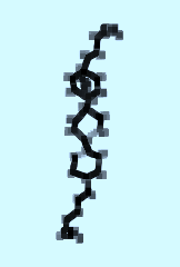 CCCCC[C@H]1CC[C@H]([C@H]2CC[C@H](C34CCC(CCCC)(CC3)CC4)CC2)CC1